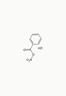 Cl.O=C(O[N+](=O)[O-])c1ccccc1